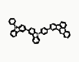 c1ccc(-n2c3ccccc3c3cc(-c4ccc5c(c4)c4ccccc4n5-c4ccc(-c5ccc6c(c5)-c5cc7ccccc7c7cccc-6c57)cc4)ccc32)cc1